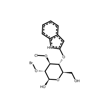 OC[C@H]1O[C@@H](O)[C@H](OBr)[C@@H](OCl)[C@@H]1Oc1cc2ccccc2[nH]1